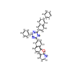 c1ccc(-c2ccc3cc(-c4nc(-c5ccccc5)nc(-c5ccc6c(ccc7c8cccnc8oc67)c5)n4)ccc3c2)cc1